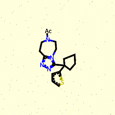 CC(=O)N1CCc2nnc(C3(c4cccs4)CCCC3)n2CC1